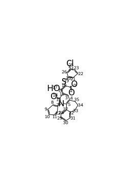 O=c1oc2c3c(n(-c4ccccc4)c(=O)c2c(O)c1Sc1cccc(Cl)c1)-c1ccccc1CCC3